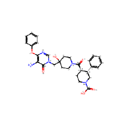 Nc1c(Oc2ccccc2)ncn(CC2(O)CCN(C(=O)[C@@H]3CCN(C(=O)O)C[C@H]3c3ccccc3)CC2)c1=O